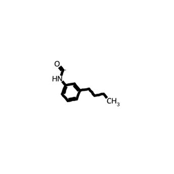 CCCCc1cccc(N[C]=O)c1